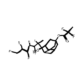 COC1(C(C)(F)C(F)C(F)C(F)C(F)CF)C2CC3CC1CC(OC(=O)C(C)(F)F)(C3)C2